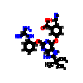 CC(C)(C)c1nc2c(Oc3ccc(C#N)c(C(=O)O)c3)nc(Oc3ccccc3NC(=N)N)nc2[nH]1